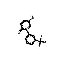 O=c1ccc(Br)cn1-c1cccc(C(F)(F)F)c1